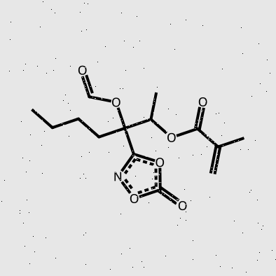 C=C(C)C(=O)OC(C)C(CCCC)(OC=O)c1noc(=O)o1